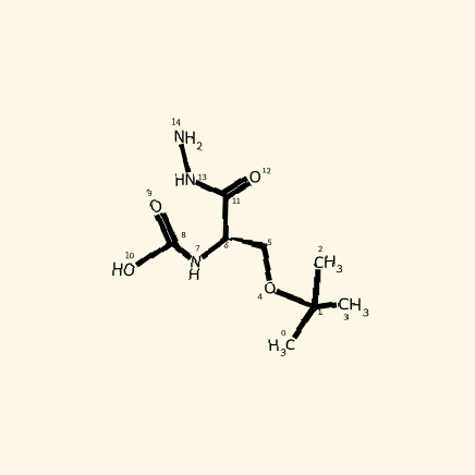 CC(C)(C)OC[C@@H](NC(=O)O)C(=O)NN